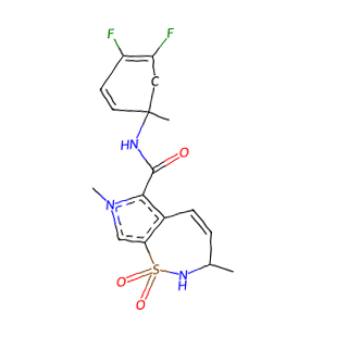 CC1C=Cc2c(cn(C)c2C(=O)NC2(C)C=CC(F)=C(F)C2)S(=O)(=O)N1